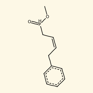 CO[PH](=O)C/C=C\Cc1ccccc1